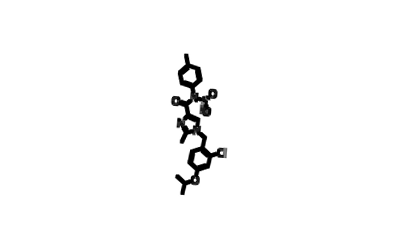 Cc1ccc(N(C(=O)c2cn(Cc3ccc(OC(C)C)cc3Cl)c(C)n2)[SH](=O)=O)cc1